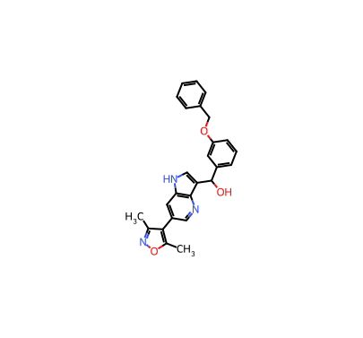 Cc1noc(C)c1-c1cnc2c(C(O)c3cccc(OCc4ccccc4)c3)c[nH]c2c1